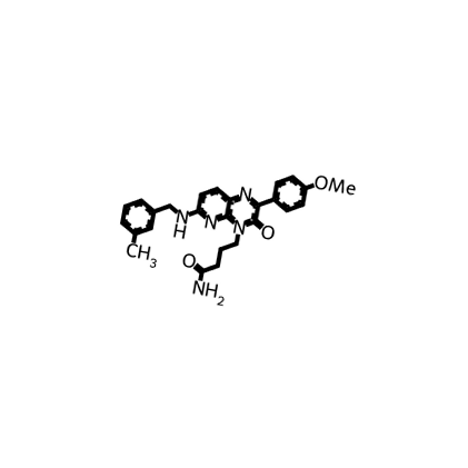 COc1ccc(-c2nc3ccc(NCc4cccc(C)c4)nc3n(CCCC(N)=O)c2=O)cc1